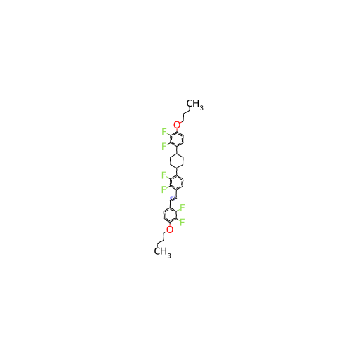 CCCCOc1ccc(/C=C/c2ccc(C3CCC(c4ccc(OCCCC)c(F)c4F)CC3)c(F)c2F)c(F)c1F